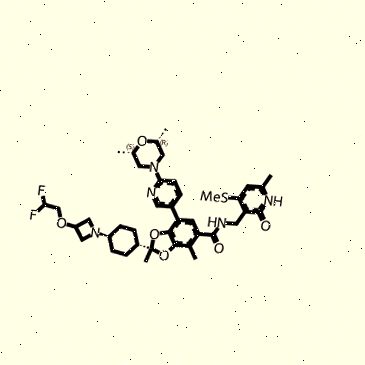 CSc1cc(C)[nH]c(=O)c1CNC(=O)c1cc(-c2ccc(N3C[C@@H](C)O[C@@H](C)C3)nc2)c2c(c1C)OC(C)([C@H]1CC[C@H](N3CC(OCC(F)F)C3)CC1)O2